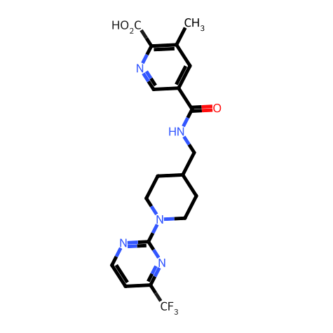 Cc1cc(C(=O)NCC2CCN(c3nccc(C(F)(F)F)n3)CC2)cnc1C(=O)O